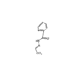 O=C(N/N=C/C(Cl)(Cl)Cl)c1ccccc1